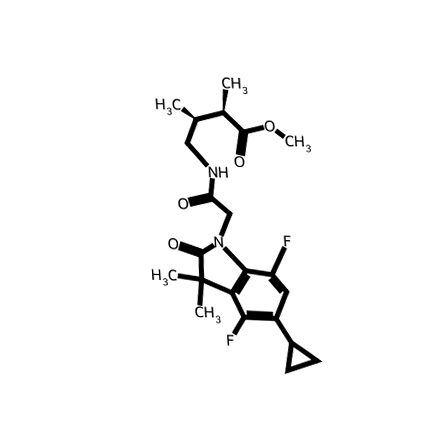 COC(=O)[C@H](C)[C@H](C)CNC(=O)CN1C(=O)C(C)(C)c2c(F)c(C3CC3)cc(F)c21